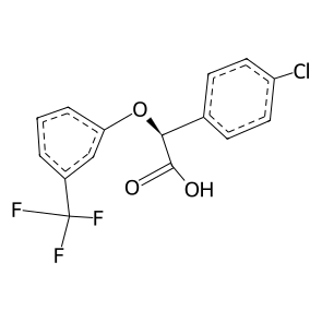 O=C(O)[C@@H](Oc1cccc(C(F)(F)F)c1)c1ccc(Cl)cc1